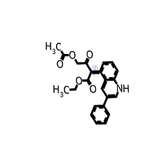 CCOC(=O)/C(C(=O)COC(C)=O)=c1/cccc2c1=CC(c1ccccc1)=CN2